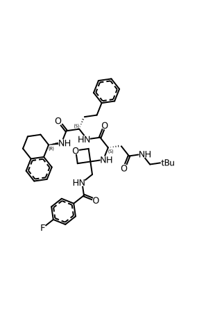 CC(C)(C)CNC(=O)C[C@H](NC1(CNC(=O)c2ccc(F)cc2)COC1)C(=O)N[C@@H](CCc1ccccc1)C(=O)N[C@@H]1CCCc2ccccc21